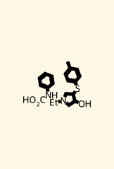 CCN1CC(O)C(Sc2ccc(C)cc2)C1.O=C(O)Nc1ccccc1